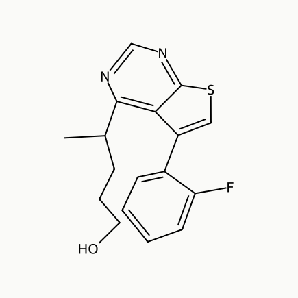 CC(CCCO)c1ncnc2scc(-c3ccccc3F)c12